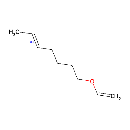 C=COCCCC/C=C/C